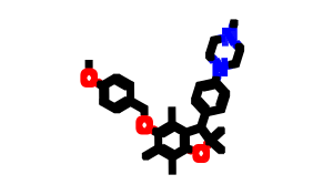 COc1ccc(COc2c(C)c(C)c3c(c2C)C(c2ccc(N4CCN(C)CC4)cc2)C(C)(C)O3)cc1